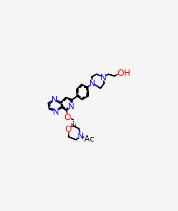 CC(=O)N1CCO[C@H](COc2nc(-c3ccc(N4CCN(CCO)CC4)cc3)cc3nccnc23)C1